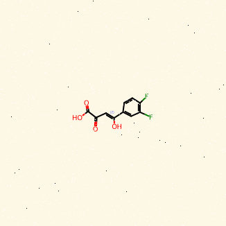 O=C(O)C(=O)/C=C(\O)c1ccc(F)c(F)c1